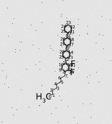 CCCCCCCCc1ccc(-c2ccc(-c3ccc(-c4ccccc4)cc3)cc2)c(F)c1F